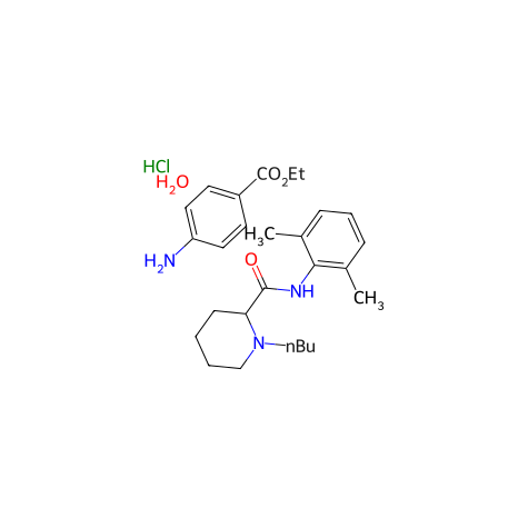 CCCCN1CCCCC1C(=O)Nc1c(C)cccc1C.CCOC(=O)c1ccc(N)cc1.Cl.O